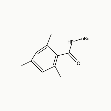 CCCCPC(=O)c1c(C)cc(C)cc1C